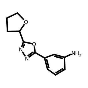 Nc1cccc(-c2nnc(C3CCCO3)o2)c1